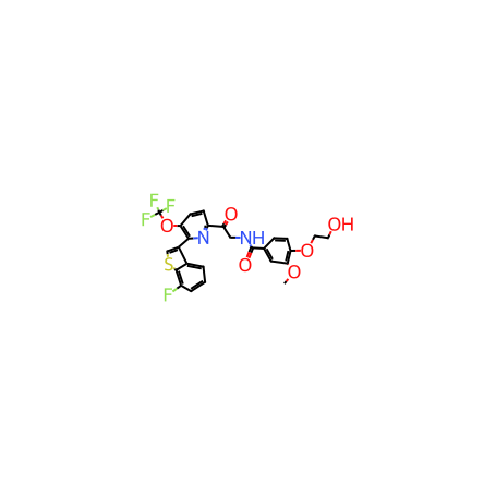 COc1cc(C(=O)NCC(=O)c2ccc(OC(F)(F)F)c(-c3csc4c(F)cccc34)n2)ccc1OCCO